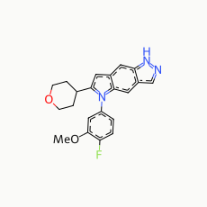 COc1cc(-n2c(C3CCOCC3)cc3cc4[nH]ncc4cc32)ccc1F